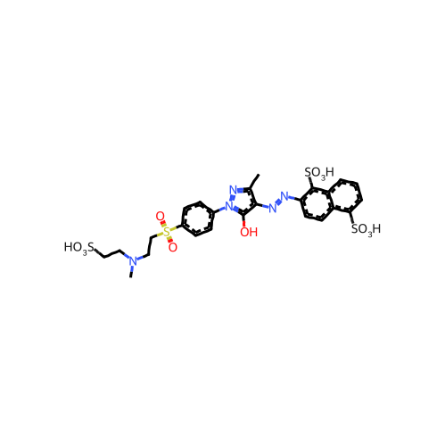 Cc1nn(-c2ccc(S(=O)(=O)CCN(C)CCS(=O)(=O)O)cc2)c(O)c1/N=N/c1ccc2c(S(=O)(=O)O)cccc2c1S(=O)(=O)O